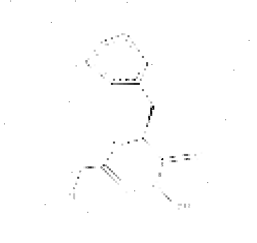 CC(C)(C)OC(=O)[C@H](Cc1ccccc1)NC(=O)CN